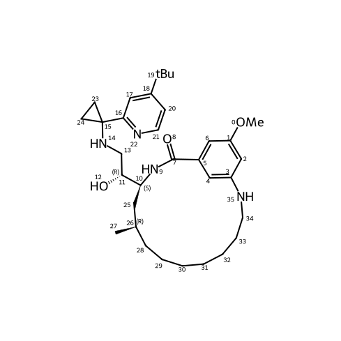 COc1cc2cc(c1)C(=O)N[C@H]([C@H](O)CNC1(c3cc(C(C)(C)C)ccn3)CC1)C[C@H](C)CCCCCCCN2